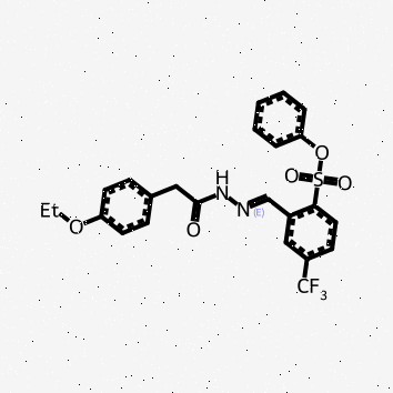 CCOc1ccc(CC(=O)N/N=C/c2cc(C(F)(F)F)ccc2S(=O)(=O)Oc2ccccc2)cc1